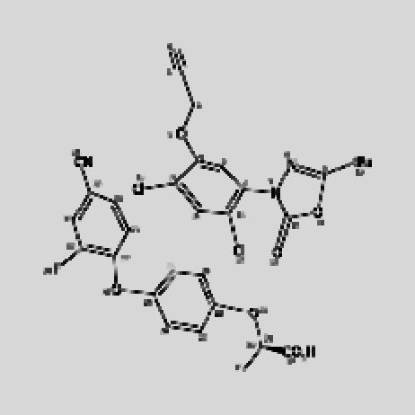 C#CCOc1cc(-n2nc(C(C)(C)C)oc2=O)c(Cl)cc1Cl.C[C@@H](Oc1ccc(Oc2ccc(C#N)cc2F)cc1)C(=O)O